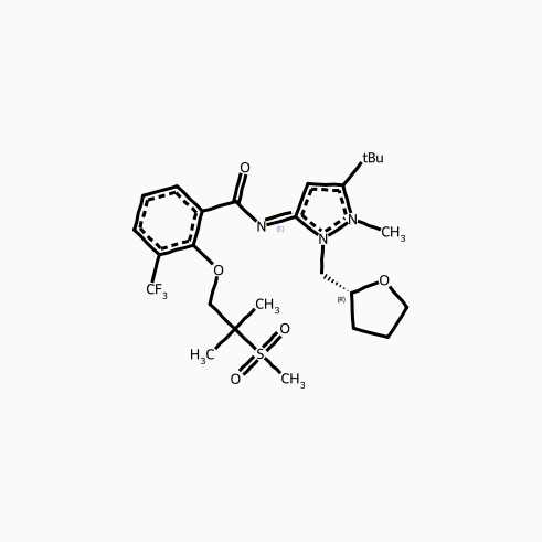 Cn1c(C(C)(C)C)c/c(=N\C(=O)c2cccc(C(F)(F)F)c2OCC(C)(C)S(C)(=O)=O)n1C[C@H]1CCCO1